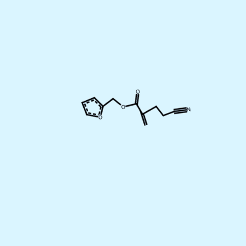 C=C(CCC#N)C(=O)OCc1ccco1